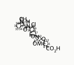 COC[C@@H]1C[C@@H](O[C@H]2CC[C@H](C(=O)O)CC2)CN1C(=O)Cc1cc(Cl)c(NC(=O)c2cn(C)c3ccccc23)cc1F